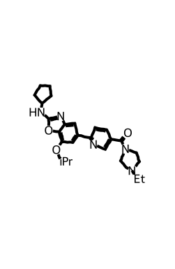 CCN1CCN(C(=O)c2ccc(-c3cc(OC(C)C)c4oc(NC5CCCC5)nc4c3)nc2)CC1